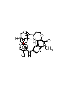 Cn1c(=O)c2c(c3cc(Nc4nc(N5[C@@H]6COC[C@H]5CC(O)C6)ncc4Cl)cnc31)NC(C1CC1)CCO2